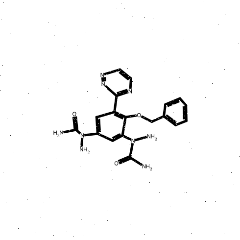 NC(=O)N(N)c1cc(-c2nccnn2)c(OCc2ccccc2)c(N(N)C(N)=O)c1